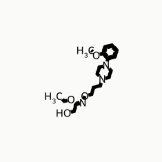 CCOC(CO)=NOCCCN1CCN(c2ccccc2OC)CC1